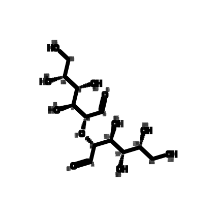 O=C[C@H](O[C@@H](C=O)[C@@H](O)[C@@H](O)[C@H](O)CO)[C@@H](O)[C@@H](O)[C@H](O)CO